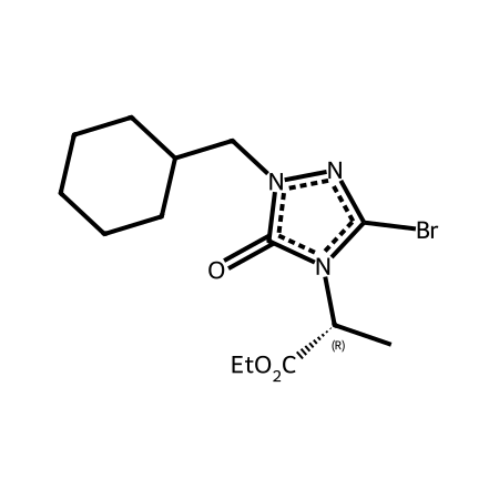 CCOC(=O)[C@@H](C)n1c(Br)nn(CC2CCCCC2)c1=O